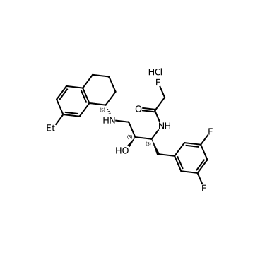 CCc1ccc2c(c1)[C@@H](NC[C@H](O)[C@H](Cc1cc(F)cc(F)c1)NC(=O)CF)CCC2.Cl